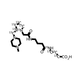 CN1CCN([13CH2][13CH]2[13CH2][13CH2][13CH2][15N]2CC(=O)NCCCC(=O)[15NH][13CH2][13CH2][13CH2][13C](=O)O)CC1